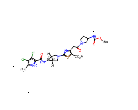 Cc1[nH]c(C(=O)N[C@H]2[C@@H]3CN(c4nc(CC(=O)N5CCC(NC(=O)OC(C)(C)C)C5)c(C(=O)O)s4)C[C@@H]32)c(Cl)c1Cl